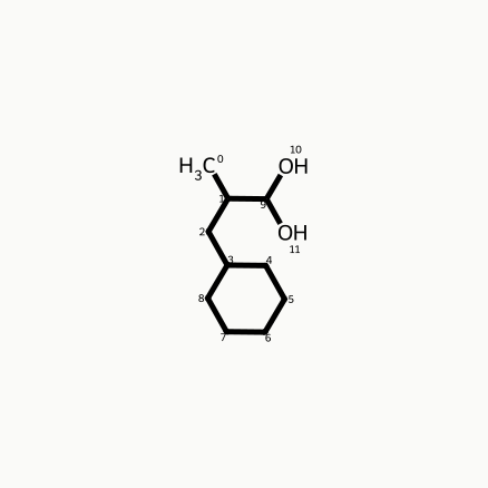 CC(CC1CCCCC1)C(O)O